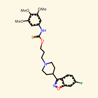 COc1cc(NC(=S)OCCCN2CCC(c3noc4cc(F)ccc34)CC2)cc(OC)c1OC